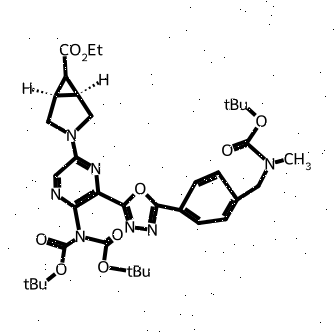 CCOC(=O)C1[C@H]2CN(c3cnc(N(C(=O)OC(C)(C)C)C(=O)OC(C)(C)C)c(-c4nnc(-c5ccc(CN(C)C(=O)OC(C)(C)C)cc5)o4)n3)C[C@@H]12